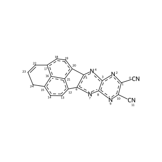 N#Cc1nc2nc3c(nc2nc1C#N)-c1ccc2c4c(ccc-3c14)C=CC2